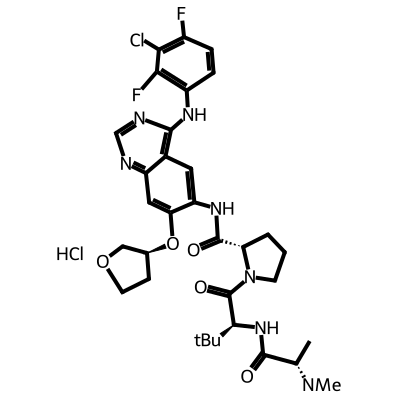 CN[C@@H](C)C(=O)N[C@H](C(=O)N1CCC[C@H]1C(=O)Nc1cc2c(Nc3ccc(F)c(Cl)c3F)ncnc2cc1O[C@H]1CCOC1)C(C)(C)C.Cl